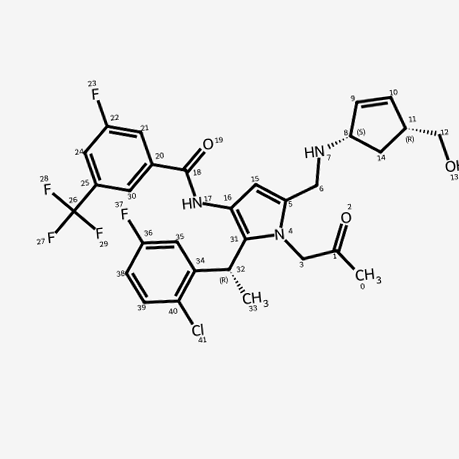 CC(=O)Cn1c(CN[C@@H]2C=C[C@H](CO)C2)cc(NC(=O)c2cc(F)cc(C(F)(F)F)c2)c1[C@H](C)c1cc(F)ccc1Cl